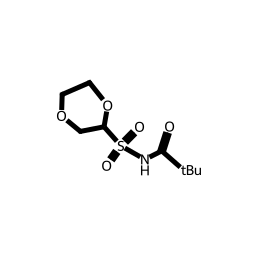 CC(C)(C)C(=O)NS(=O)(=O)C1COCCO1